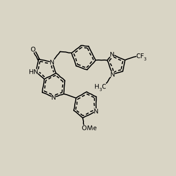 COc1cc(-c2cc3c(cn2)[nH]c(=O)n3Cc2ccc(-c3nc(C(F)(F)F)cn3C)cc2)ccn1